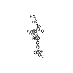 O=C(NS(=O)(=O)c1ccc(N[C@@H](CSc2ccccc2)C[C@@H]2CCCN2CCNCCCO)c(S(=O)(=O)C(F)(F)F)c1)c1ccc(N2CCC([C@@H](O)c3ccccc3-c3ccc(Cl)cc3)CC2)cc1